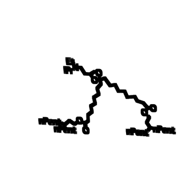 CCCCCC(CCCCC)CCOC(=O)CCCCCCCCCC1(CCCCCCCCCC(=O)OCCC(CCCCC)CCCCC)OCC(CCN(CC)C(C)C)O1